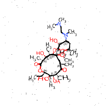 CC[C@H]1OC(=O)[C@H](C)[C@@H](O)[C@H](C)[C@@H](O[C@@H]2O[C@H](C)C[C@H](N(C)CCN(C)C)[C@H]2O)[C@@](C)(OC)C[C@@H](C)C(=O)[C@H](C)[C@@H](O)[C@]1(C)O